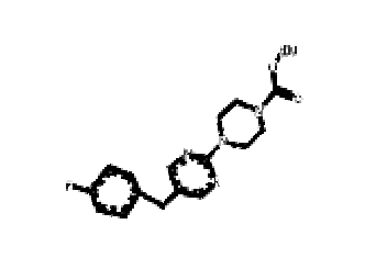 CC(C)(C)OC(=O)N1CCN(c2ncc(Cc3ccc(F)cc3)cn2)CC1